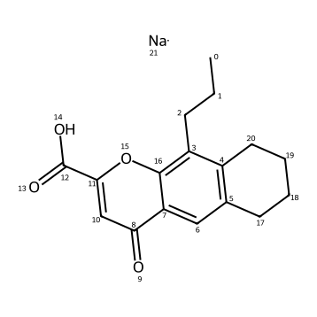 CCCc1c2c(cc3c(=O)cc(C(=O)O)oc13)CCCC2.[Na]